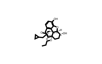 CCCO[C@@]12CC[C@@H](O)[C@@H]3Oc4c(O)ccc5c4[C@@]31CC[N+]([O-])(CC1CC1)[C@@H]2C5